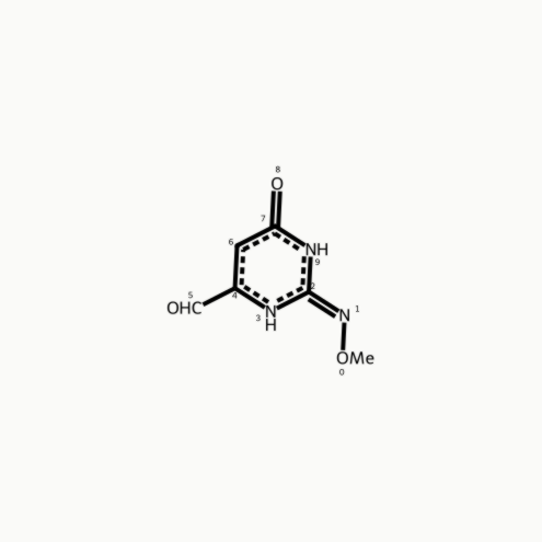 CON=c1[nH]c(C=O)cc(=O)[nH]1